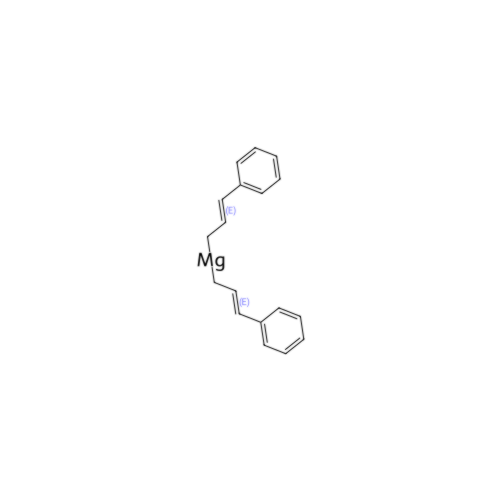 C(=C\c1ccccc1)/[CH2][Mg][CH2]/C=C/c1ccccc1